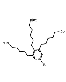 C[CH]c1nc(CCCCCCCCCCCCCCC)c(CCCCCCCCCCCCCCC)c(CCCCCCCCCCCCCCC)n1